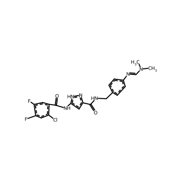 CN(C)C=Nc1ccc(CNC(=O)c2cc(NC(=O)c3cc(F)c(F)cc3Cl)[nH]n2)cc1